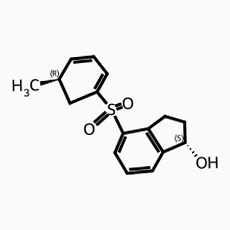 C[C@H]1C=CC=C(S(=O)(=O)c2cccc3c2CC[C@@H]3O)C1